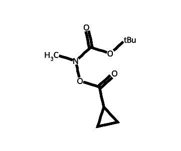 CN(OC(=O)C1CC1)C(=O)OC(C)(C)C